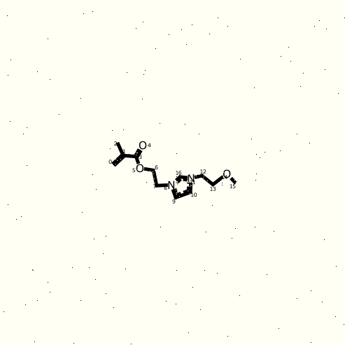 C=C(C)C(=O)OCC[n+]1ccn(CCOC)c1